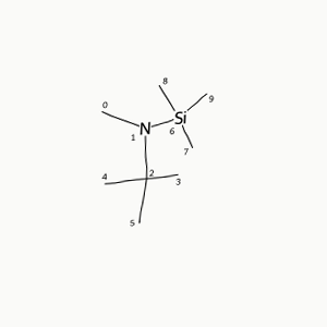 CN(C(C)(C)C)[Si](C)(C)C